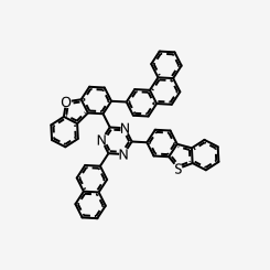 c1ccc2cc(-c3nc(-c4ccc5c(c4)sc4ccccc45)nc(-c4c(-c5ccc6ccc7ccccc7c6c5)ccc5oc6ccccc6c45)n3)ccc2c1